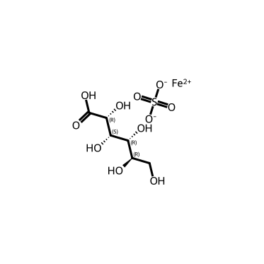 O=C(O)[C@H](O)[C@@H](O)[C@H](O)[C@H](O)CO.O=S(=O)([O-])[O-].[Fe+2]